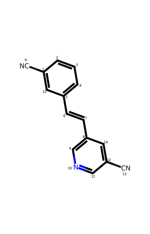 N#Cc1cccc(/C=C/c2cncc(C#N)c2)c1